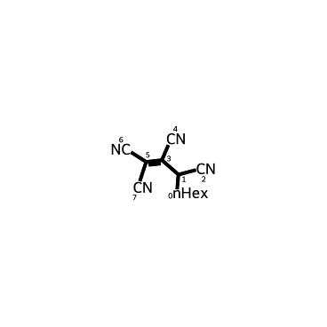 CCCCCCC(C#N)C(C#N)=C(C#N)C#N